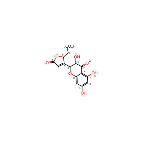 O=C(O)CC1OC(=O)C=C1C1Oc2cc(O)cc(O)c2C(=O)C1O